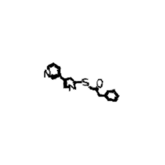 O=C(CSC1=NC=C(c2cccnc2)C1)Cc1ccccc1